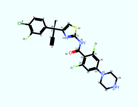 C#C[C@](C)(c1ccc(Cl)c(F)c1)c1csc(NC(=O)c2c(F)cc(N3CCNCC3)cc2F)n1